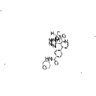 CS(=O)(=O)c1nccc(-c2ccc(C(=O)NC3CCOCC3)cc2)c1-c1nnn[nH]1